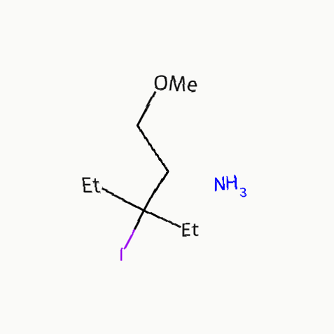 CCC(I)(CC)CCOC.N